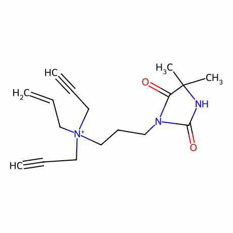 C#CC[N+](CC#C)(CC=C)CCCN1C(=O)NC(C)(C)C1=O